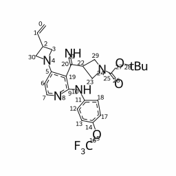 C=CC1CN(c2ccnc(Nc3ccc(OC(F)(F)F)cc3)c2C(=N)C2CN(C(=O)OC(C)(C)C)C2)C1